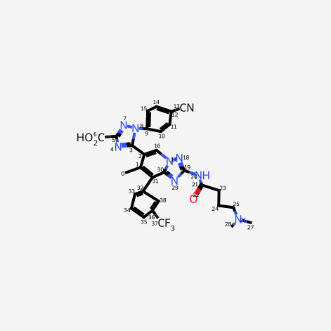 Cc1c(-c2nc(C(=O)O)nn2-c2ccc(C#N)cc2)cn2nc(NC(=O)CCCN(C)C)nc2c1-c1cccc(C(F)(F)F)c1